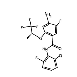 C[C@H](Oc1cc(N)c(F)cc1C(=O)Nc1c(F)cccc1Cl)C(F)(F)F